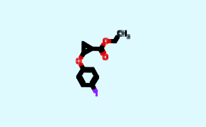 CCOC(=O)C1CC1Oc1ccc(I)cc1